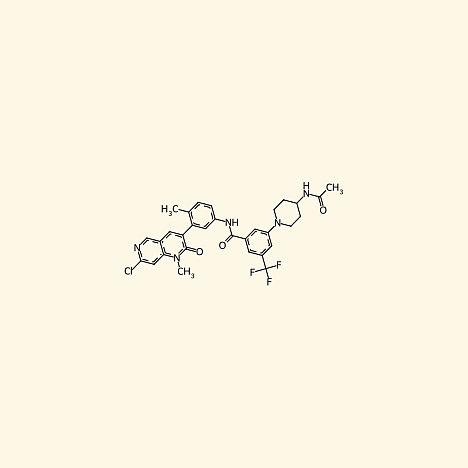 CC(=O)NC1CCN(c2cc(C(=O)Nc3ccc(C)c(-c4cc5cnc(Cl)cc5n(C)c4=O)c3)cc(C(F)(F)F)c2)CC1